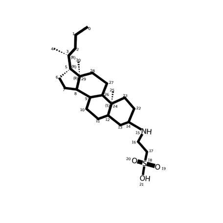 CCC[C@@H](C)[C@H]1CCC2C3CCC4CC(NCCS(=O)(=O)O)CC[C@]4(C)C3CC[C@@]21C